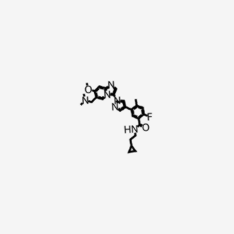 COc1cc2ncc(-n3cc(-c4cc(C(=O)NCCC5CC5)c(F)cc4C)cn3)n2cc1CN(C)C